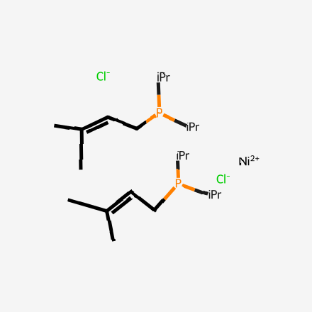 CC(C)=CCP(C(C)C)C(C)C.CC(C)=CCP(C(C)C)C(C)C.[Cl-].[Cl-].[Ni+2]